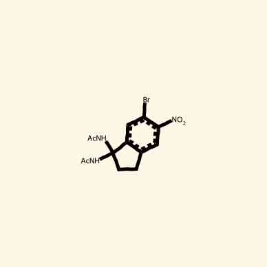 CC(=O)NC1(NC(C)=O)CCc2cc([N+](=O)[O-])c(Br)cc21